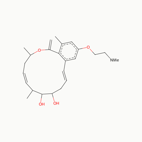 C=C1OC(C)C/C=C\C(C)C(O)C(O)C/C=C/c2cc(OCCNC)cc(C)c21